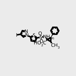 CC1[C@H](c2ccccc2)[C@]1(NS(=O)(=O)c1ccc(-n2cc(I)cn2)s1)C(=O)O